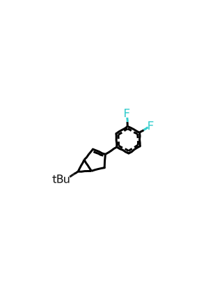 CC(C)(C)C1C2C=C(c3ccc(F)c(F)c3)CC21